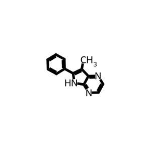 Cc1c(-c2ccccc2)[nH]c2nccnc12